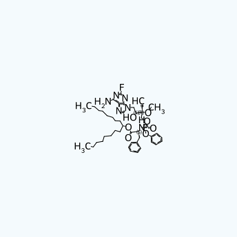 C#C[C@](COP(=O)(N[C@@H](Cc1ccccc1)C(=O)OC(CCCCCCCC)CCCCCCCC)Oc1ccccc1)(OC)[C@@H](O)Cn1cnc2c(N)nc(F)nc21